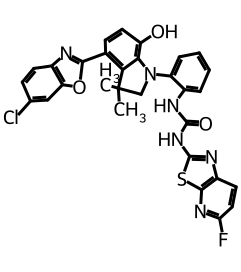 CC1(C)CN(c2ccccc2NC(=O)Nc2nc3ccc(F)nc3s2)c2c(O)ccc(-c3nc4ccc(Cl)cc4o3)c21